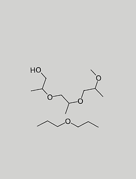 CCCOCCC.COC(C)COC(C)COC(C)CO